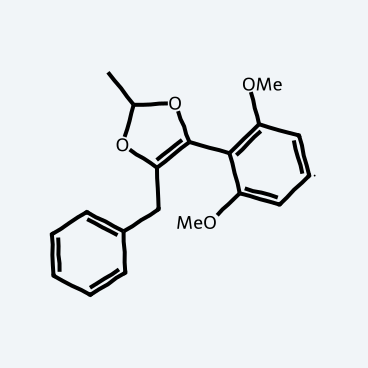 COc1c[c]cc(OC)c1C1=C(Cc2ccccc2)OC(C)O1